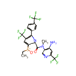 CC[S+]([O-])c1cc(C(F)(F)F)c(-c2ccc(C(F)(F)F)cc2)nc1C(=O)N(C)c1cnc(C(F)(F)F)cc1N